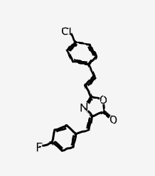 O=C1OC(C=Cc2ccc(Cl)cc2)=NC1=Cc1ccc(F)cc1